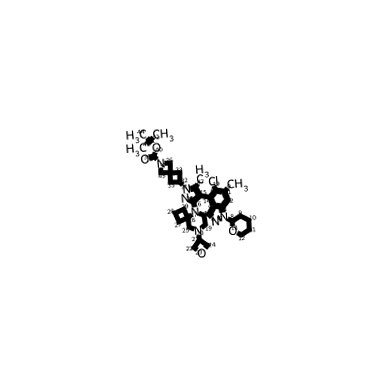 Cc1cc2c(cnn2C2CCCCO2)c(-c2c(N3CCN(C4COC4)CC34CCC4)nn(C3CC4(C3)CN(C(=O)OC(C)(C)C)C4)c2C)c1Cl